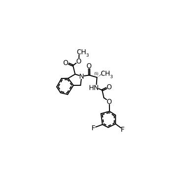 COC(=O)C1c2ccccc2CN1C(=O)[C@H](C)NC(=O)COc1cc(F)cc(F)c1